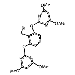 COc1cc(OC)nc(Oc2cccc(Oc3nc(OC)cc(OC)n3)c2CBr)n1